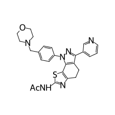 CC(=O)Nc1nc2c(s1)-c1c(c(-c3cccnc3)nn1-c1ccc(CN3CCOCC3)cc1)CC2